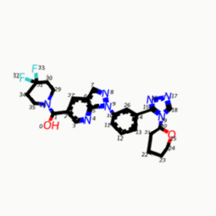 OC(c1cnc2c(cnn2-c2cccc(-c3nncn3C3CCCCO3)c2)c1)N1CCC(F)(F)CC1